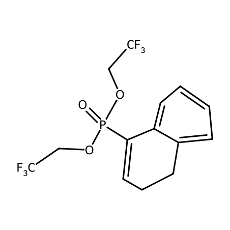 O=P(OCC(F)(F)F)(OCC(F)(F)F)C1=CCCc2ccccc21